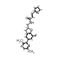 Cc1cnc(C)c(-c2cc(F)c3c(c2)CC(CNC(=O)C=Cc2cccs2)O3)n1